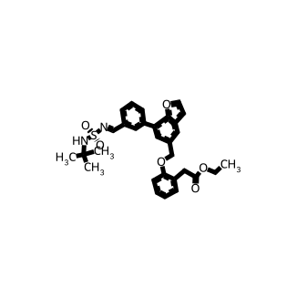 CCOC(=O)Cc1ccccc1OCc1cc(-c2cccc(C=NS(=O)(=O)NC(C)(C)C)c2)c2occc2c1